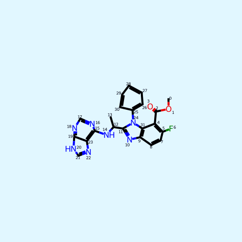 COC(=O)c1c(F)ccc2nc(C(C)Nc3ncnc4[nH]cnc34)n(-c3ccccc3)c12